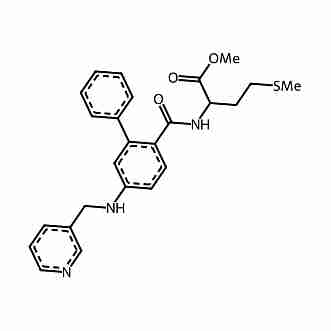 COC(=O)C(CCSC)NC(=O)c1ccc(NCc2cccnc2)cc1-c1ccccc1